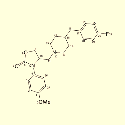 COc1ccc(N2C(=O)OCC2CN2CCC(Cc3ccc(F)cc3)CC2)cc1